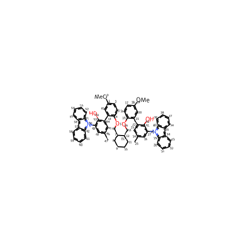 COc1ccc(OCC2CCCC[C@@H]2COc2ccc(OC)cc2-c2cc(C)cc(-n3c4ccccc4c4ccccc43)c2O)c(-c2cc(C)cc(-n3c4ccccc4c4ccccc43)c2O)c1